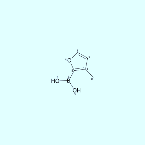 Cc1ccoc1B(O)O